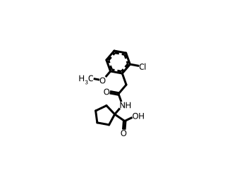 COc1cccc(Cl)c1CC(=O)NC1(C(=O)O)CCCC1